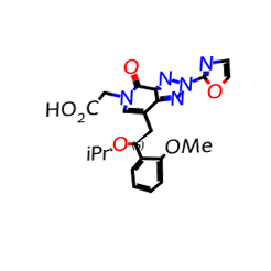 COc1ccccc1[C@H](Cc1cn(CC(=O)O)c(=O)c2nn(-c3ncco3)nc12)OC(C)C